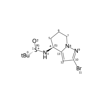 CC(C)(C)[S@+]([O-])N[C@H]1CCCn2nc(Br)cc21